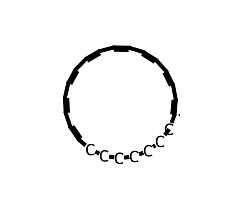 [C]1=C/C=C\C=C/C=C\C=C/C=C\C=C/C=C\CCCCCCC\1